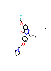 Cc1nc2ccc(OCCF)cc2c(=O)n1-c1ccc(OCCCN2CCCCC2)cc1